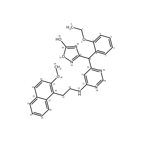 CCOc1ccccc1C(c1cc(NCCc2c(OC)ccc3ccccc23)ncn1)c1noc(O)n1